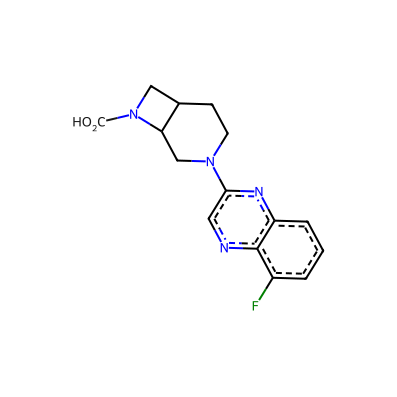 O=C(O)N1CC2CCN(c3cnc4c(F)cccc4n3)CC21